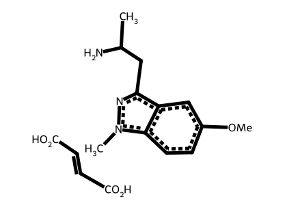 COc1ccc2c(c1)c(CC(C)N)nn2C.O=C(O)C=CC(=O)O